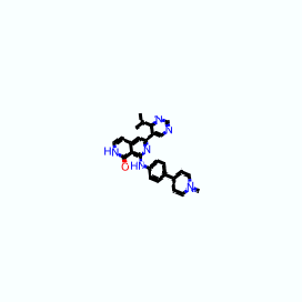 CC(C)c1ncncc1-c1cc2cc[nH]c(=O)c2c(Nc2ccc(C3CCN(C)CC3)cc2)n1